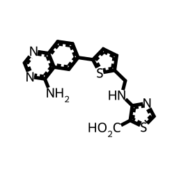 Nc1ncnc2ccc(-c3ccc(CNc4ncsc4C(=O)O)s3)cc12